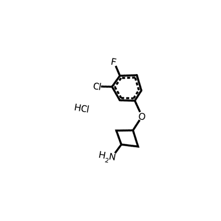 Cl.NC1CC(Oc2ccc(F)c(Cl)c2)C1